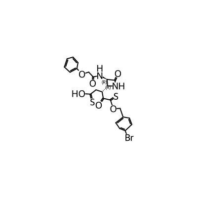 O=C(COc1ccccc1)N[C@H]1C(=O)N[C@@H]1C(CC(O)=S)C(=O)C(=S)OCc1ccc(Br)cc1